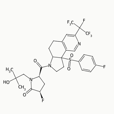 CC(C)(O)CN1C(=O)[C@H](F)C[C@@H]1C(=O)N1CCC2(S(=O)(=O)c3ccc(F)cc3)c3cnc(C(F)(C(F)(F)F)C(F)(F)F)cc3CCC12